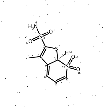 CC1=C(S(N)(=O)=O)S[C@@H]2C1=CC=CS2(=O)=O